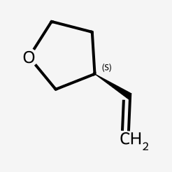 C=C[C@@H]1CCOC1